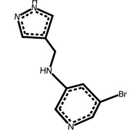 Brc1cncc(NCc2cn[nH]c2)c1